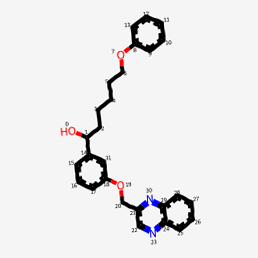 OC(CCCCCOc1ccccc1)c1cccc(OCc2cnc3ccccc3n2)c1